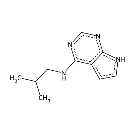 CC(C)CNc1ncnc2[nH]ccc12